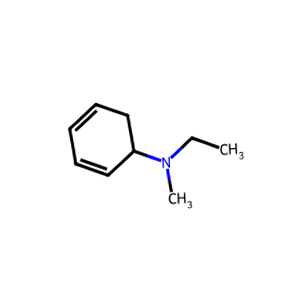 CCN(C)C1C=CC=CC1